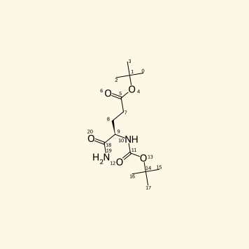 CC(C)(C)OC(=O)CC[C@@H](NC(=O)OC(C)(C)C)C(N)=O